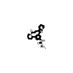 CCC1CCCCN1C(=O)/C=C/c1c(-c2cccc(NC(=O)OC)c2)nn2ccccc12